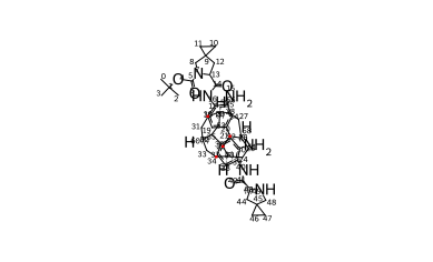 CC(C)(C)OC(=O)N1CC2(CC2)CC1C(=O)Nc1ccc(C2C[C@H]3CC[C@@H]2CC[C@@H]2CC[C@H](CC3)C(c3ccc(NC(=O)[C@@H]4CC5(CC5)CN4)c(N)c3)C2)cc1N